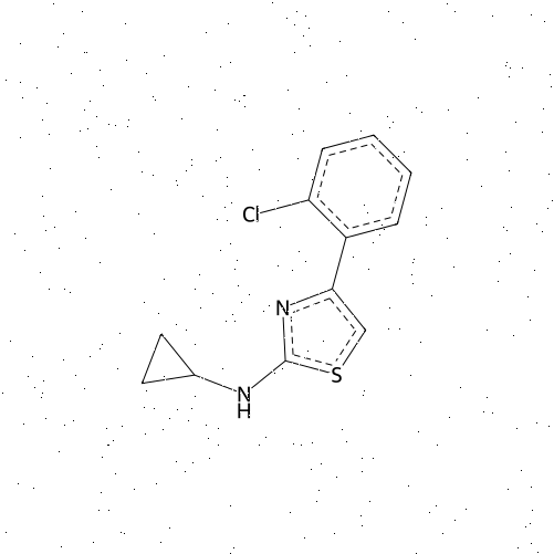 Clc1ccccc1-c1csc(NC2CC2)n1